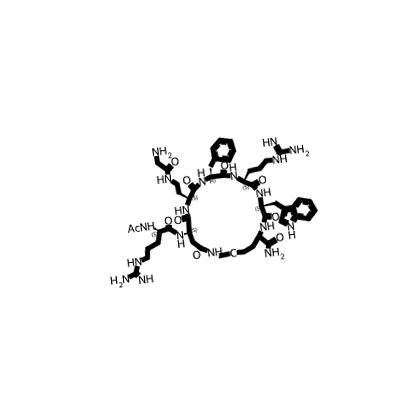 CC(=O)N[C@@H](CCCNC(=N)N)C(=O)N[C@H]1CC(=O)NCCCCC(C(N)=O)NC(=O)[C@H](Cc2c[nH]c3ccccc23)NC(=O)[C@H](CCCNC(=N)N)NC(=O)[C@@H](Cc2ccccc2)NC(=O)[C@H](CCNC(=O)CN)NC1=O